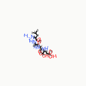 CC(C)C[C@H](N)C(=O)N[C@@H](C)C(=O)NCC(=O)N[C@@H](CCC(=O)O)C(=O)O